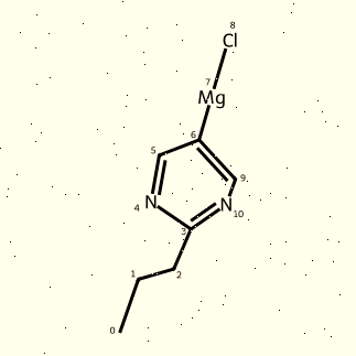 CCCc1nc[c]([Mg][Cl])cn1